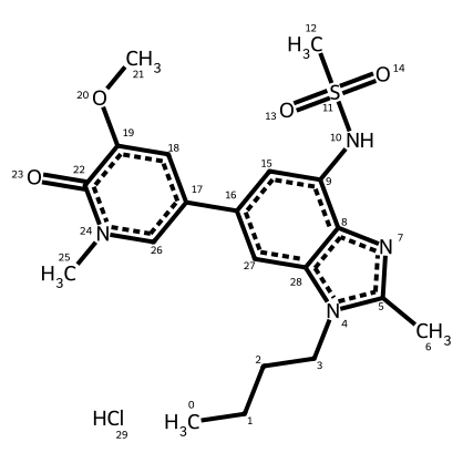 CCCCn1c(C)nc2c(NS(C)(=O)=O)cc(-c3cc(OC)c(=O)n(C)c3)cc21.Cl